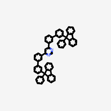 c1ccc(C2(c3cccc(-c4cccc(-c5cc(-c6cccc(-c7cccc(C8(c9ccccc9)c9ccccc9-c9ccccc98)c7)c6)ncn5)c4)c3)c3ccccc3-c3ccccc32)cc1